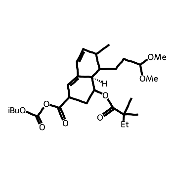 CCC(C)(C)C(=O)OC1CC(C(=O)OC(=O)OCC(C)C)C=C2C=CC(C)C(CCC(OC)OC)[C@H]21